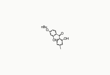 CCCCOc1ccc(C(=O)c2ccc(C)cc2O)c(O)c1